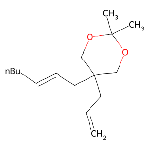 C=CCC1(CC=CCCCC)COC(C)(C)OC1